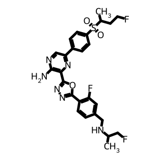 CC(CF)NCc1ccc(-c2nnc(-c3nc(-c4ccc(S(=O)(=O)C(C)CCF)cc4)cnc3N)o2)c(F)c1